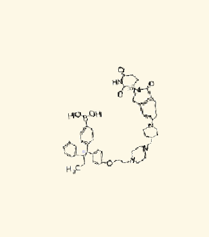 CC/C(=C(\c1ccc(OCCN2CCN(CC3CCN(c4ccc5c(c4)CN([C@H]4CCC(=O)NC4=O)C5=O)CC3)CC2)cc1)c1ccc(B(O)O)cc1)c1ccccc1